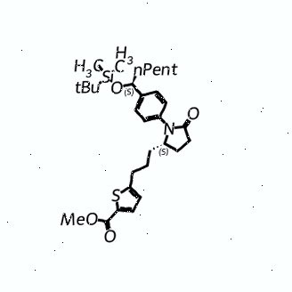 CCCCC[C@H](O[Si](C)(C)C(C)(C)C)c1ccc(N2C(=O)CC[C@@H]2CCCc2ccc(C(=O)OC)s2)cc1